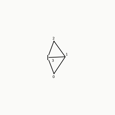 C1C2CI12